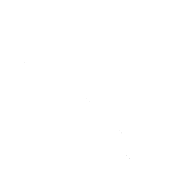 O=C1Nc2ccccc2CN1C1CCN(CC(O)c2ccc(Cl)c(Cl)c2)CC1